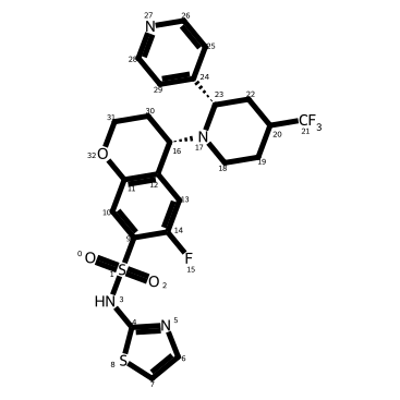 O=S(=O)(Nc1nccs1)c1cc2c(cc1F)[C@@H](N1CCC(C(F)(F)F)C[C@H]1c1ccncc1)CCO2